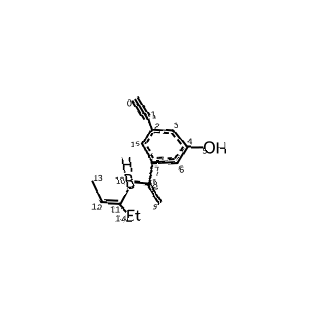 C#Cc1cc(O)cc(C(=C)B/C(=C\C)CC)c1